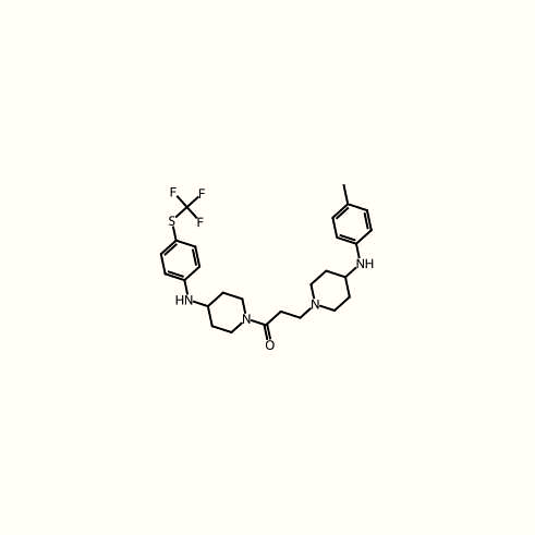 Cc1ccc(NC2CCN(CCC(=O)N3CCC(Nc4ccc(SC(F)(F)F)cc4)CC3)CC2)cc1